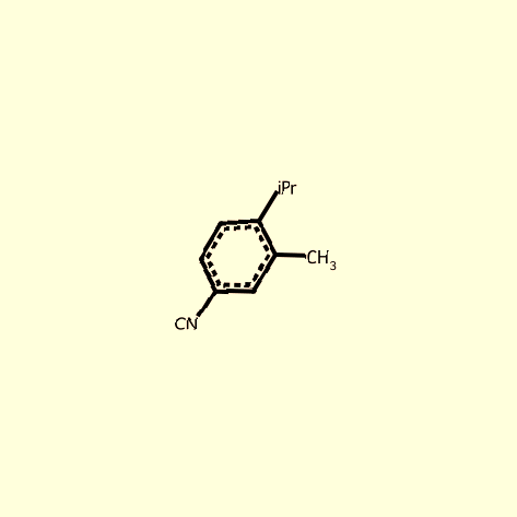 [C-]#[N+]c1ccc(C(C)C)c(C)c1